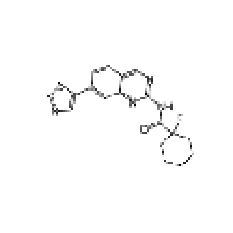 O=C(Nc1ncc2ccc(-c3cncs3)cc2n1)C1(F)CCCCC1